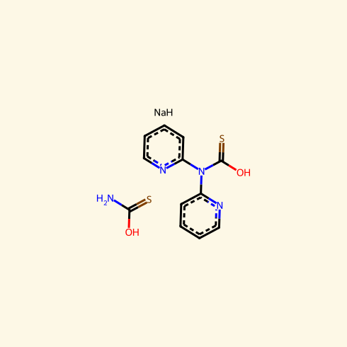 NC(O)=S.OC(=S)N(c1ccccn1)c1ccccn1.[NaH]